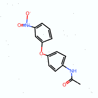 CC(=O)Nc1ccc(Oc2cccc([N+](=O)[O-])c2)cc1